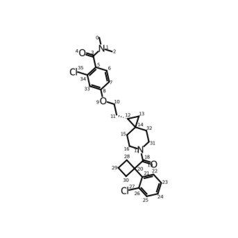 CN(C)C(=O)c1ccc(OCC[C@@H]2CC23CCN(C(=O)C2(c4ccccc4Cl)CCC2)CC3)cc1Cl